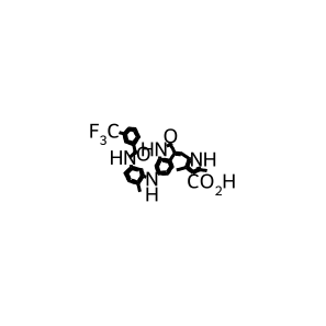 Cc1ccc(NC(=O)c2cccc(C(F)(F)F)c2)cc1Nc1ccc2c(c1)NC(=O)C2=Cc1[nH]c(C)c(C(=O)O)c1C